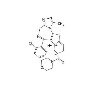 Cc1nnc2n1C1=C(C(c3ccccc3Cl)=NC2)[C@H]2C[C@@H](C(=O)N3CCOCC3)CC=C2S1